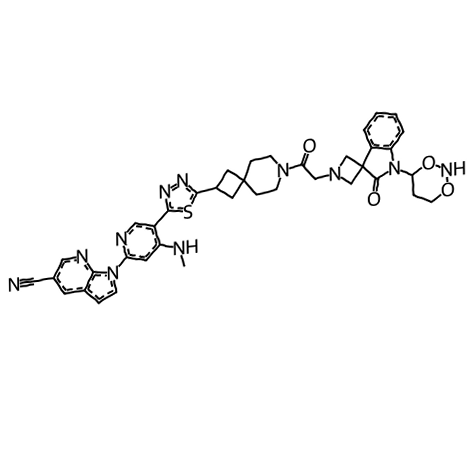 CNc1cc(-n2ccc3cc(C#N)cnc32)ncc1-c1nnc(C2CC3(CCN(C(=O)CN4CC5(C4)C(=O)N(C4CCONO4)c4ccccc45)CC3)C2)s1